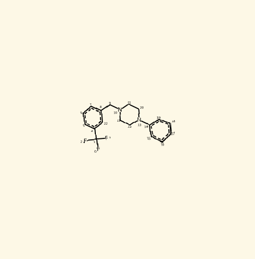 FC(F)(F)c1cccc(CN2CCN(c3ccccc3)CC2)c1